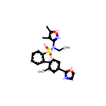 COCN(c1noc(C)c1C)S(=O)(=O)c1ccccc1-c1ccc(-c2ncco2)cc1C=O